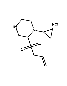 C=CCS(=O)(=O)C1CNCCN1C1CC1.Cl